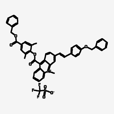 Cc1cc(C(=O)OCc2ccccc2)cc(C)c1OC(=O)c1c2ccccc2[n+](C)c2cc(C=Cc3ccc(OCc4ccccc4)cc3)ccc12.O=S(=O)([O-])C(F)(F)F